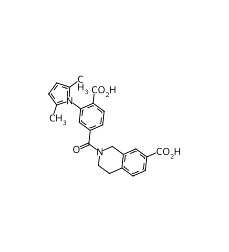 Cc1ccc(C)n1-c1cc(C(=O)N2CCc3ccc(C(=O)O)cc3C2)ccc1C(=O)O